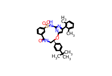 Cc1cccc(C)c1-c1cc2nc(n1)NS(=O)(=O)c1cccc(c1)C(=O)NC[C@H](c1ccc(C(C)(C)C)cc1)O2